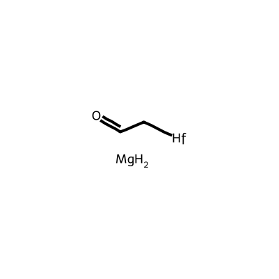 O=C[CH2][Hf].[MgH2]